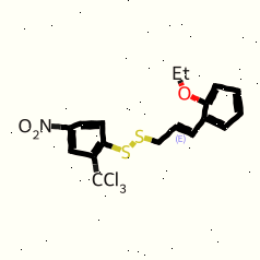 CCOc1ccccc1/C=C/CSSc1ccc([N+](=O)[O-])cc1C(Cl)(Cl)Cl